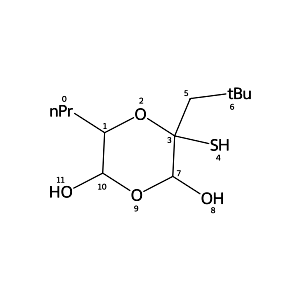 CCCC1OC(S)(CC(C)(C)C)C(O)OC1O